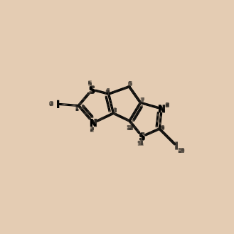 Ic1nc2c(s1)Cc1nc(I)sc1-2